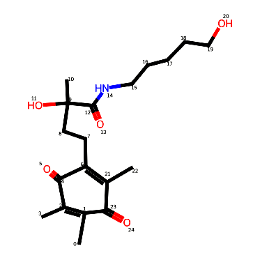 CC1=C(C)C(=O)C(CCC(C)(O)C(=O)NCCCCCO)=C(C)C1=O